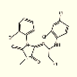 CN1C(=O)C(=NC(CCl)Nc2ccc(Cl)cc2Cl)N(c2ccccc2Cl)C1=O